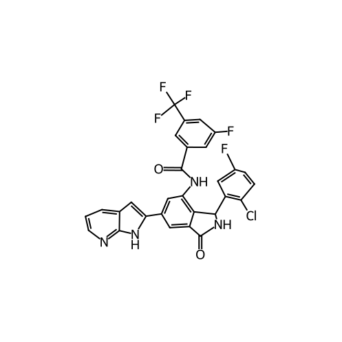 O=C(Nc1cc(-c2cc3cccnc3[nH]2)cc2c1C(c1cc(F)ccc1Cl)NC2=O)c1cc(F)cc(C(F)(F)F)c1